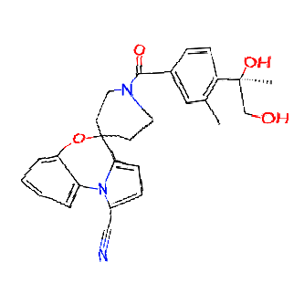 Cc1cc(C(=O)N2CCC3(CC2)Oc2ccccc2-n2c(C#N)ccc23)ccc1[C@@](C)(O)CO